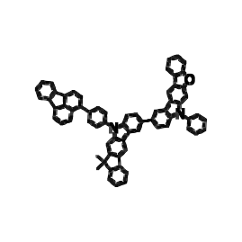 CC1(C)c2ccccc2-c2cc3c4cc(-c5ccc6c(c5)c5cc7c(cc5n6-c5ccccc5)oc5ccccc57)ccc4n(-c4ccc(-c5ccc6c7c(cccc57)-c5ccccc5-6)cc4)c3cc21